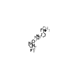 CC(F)(F)c1cccc(-n2cc(COc3nccc(C(F)(F)F)n3)nn2)c1